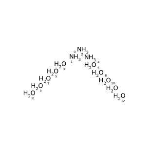 N.N.N.O.O.O.O.O.O.O.O.O.O